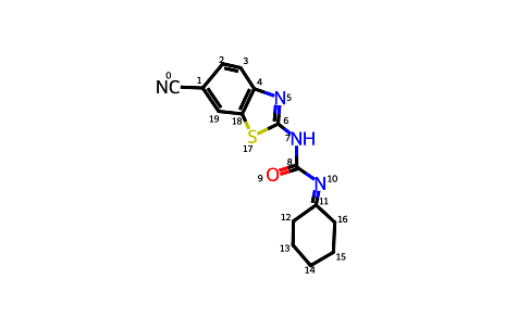 N#Cc1ccc2nc(NC(=O)N=C3CCCCC3)sc2c1